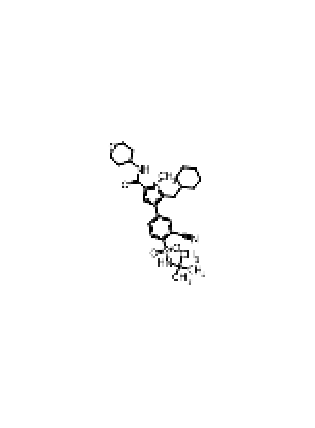 Cn1c(C(=O)NC2CCOCC2)cc(-c2ccc(S(=O)(=O)NC(C)(C)C)c(C#N)c2)c1CC1CCCCC1